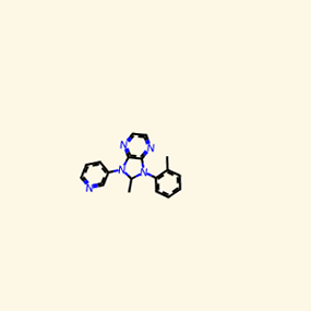 Cc1ccccc1N1c2nccnc2N(c2cccnc2)C1C